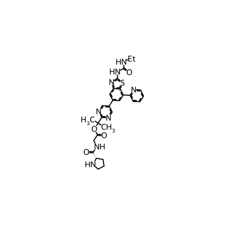 CCNC(=O)Nc1nc2cc(-c3cnc(C(C)(C)OC(=O)CNC(=O)[C@@H]4CCCN4)nc3)cc(-c3ccccn3)c2s1